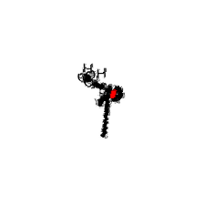 CCCCCCCCCCCCSC(CCC)C(CSCCCO[PH](=O)O)c1ccccc1